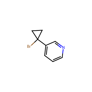 BrC1(c2cccnc2)CC1